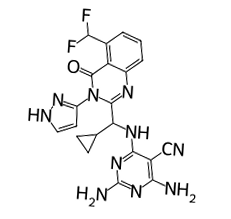 N#Cc1c(N)nc(N)nc1NC(c1nc2cccc(C(F)F)c2c(=O)n1-c1cc[nH]n1)C1CC1